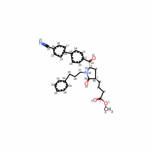 COC(=O)CCC[C@@H]1C[C@@H](C(=O)c2ccc(-c3ccc(C#N)cc3)cc2)N(CCCc2ccccc2)C1=O